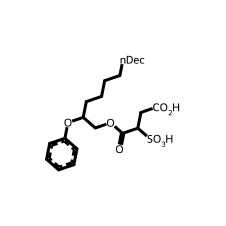 CCCCCCCCCCCCCCC(COC(=O)C(CC(=O)O)S(=O)(=O)O)Oc1ccccc1